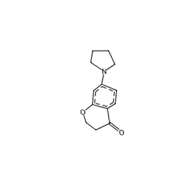 O=C1CCOc2cc(N3CCCC3)ccc21